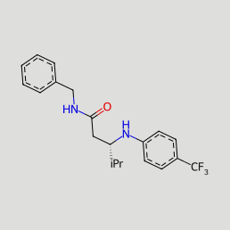 CC(C)[C@H](CC(=O)NCc1ccccc1)Nc1ccc(C(F)(F)F)cc1